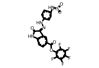 O=C1Nc2ccc(C(=O)Oc3c(F)c(F)c(F)c(F)c3F)cc2C1=NNc1ccc(N[SH](=O)=O)cc1